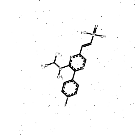 CC(C)N(C)c1nc(/C=C/P(=O)(O)O)cnc1-c1ccc(F)cc1